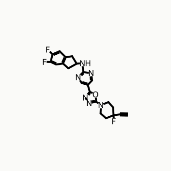 C#CC1(F)CCN(c2nnc(-c3cnc(NC4Cc5cc(F)c(F)cc5C4)nc3)o2)CC1